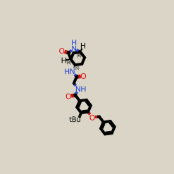 CC(C)(C)c1cc(C(=O)NCC(=O)N[C@H]2CC[C@@H]3C[C@H]2C(=O)N3)ccc1OCc1ccccc1